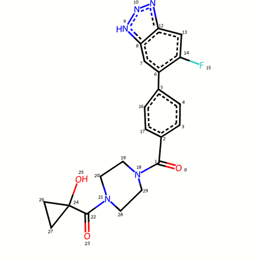 O=C(c1ccc(-c2cc3[nH]nnc3cc2F)cc1)N1CCN(C(=O)C2(O)CC2)CC1